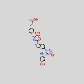 CN1Cc2cc(N/C(=C\[N+](=O)[O-])Nc3ccc(O)cc3)ccc2C1C(=O)NC(Cc1ccc(CCC(=O)O)cc1)C(=O)O